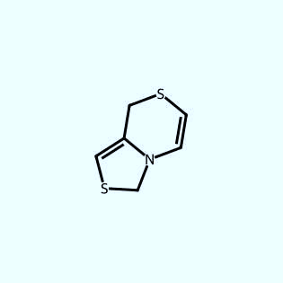 C1=CN2CSC=C2CS1